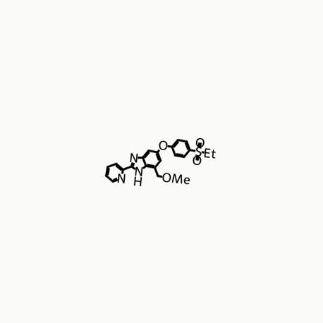 CCS(=O)(=O)c1ccc(Oc2cc(COC)c3[nH]c(-c4ccccn4)nc3c2)cc1